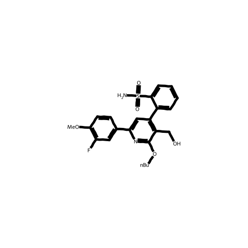 CCCCOc1nc(-c2ccc(OC)c(F)c2)cc(-c2ccccc2S(N)(=O)=O)c1CO